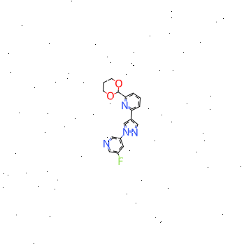 Fc1cncc(-n2cc(-c3cccc(C4OCCCO4)n3)cn2)c1